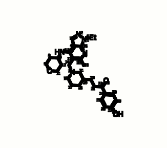 CCn1ncc2c(NC3CCOCC3)c(CN3CCCC(CCC(=O)c4ccc(O)cc4)C3)c(C)nc21